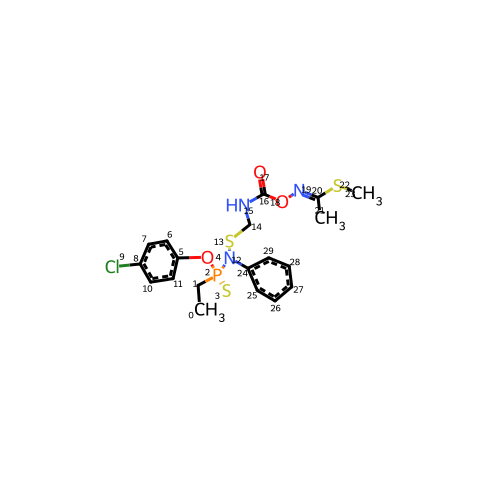 CCP(=S)(Oc1ccc(Cl)cc1)N(SCNC(=O)O/N=C(\C)SC)c1ccccc1